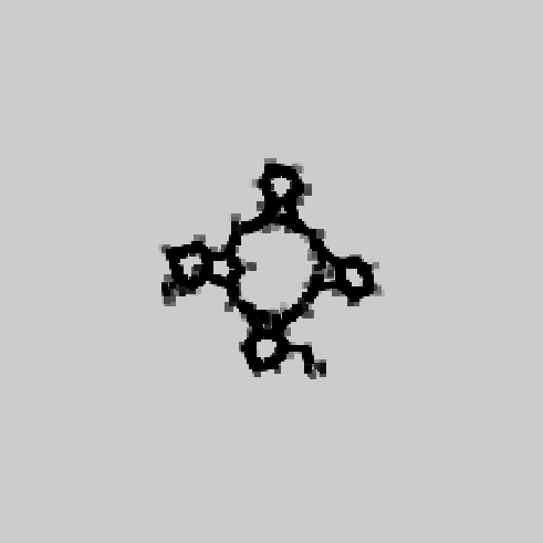 N#CCc1cccc2c3nc4nc(nc5[nH]c(nc6nc(nc([nH]3)c12)-c1ccccc1-6)c1ccccc51)-c1ccccc1-4.[Mn]